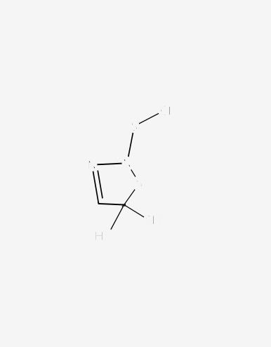 CSN1N=CC(S)(S)S1